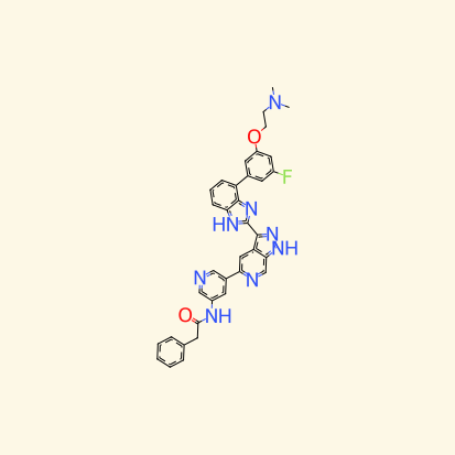 CN(C)CCOc1cc(F)cc(-c2cccc3[nH]c(-c4n[nH]c5cnc(-c6cncc(NC(=O)Cc7ccccc7)c6)cc45)nc23)c1